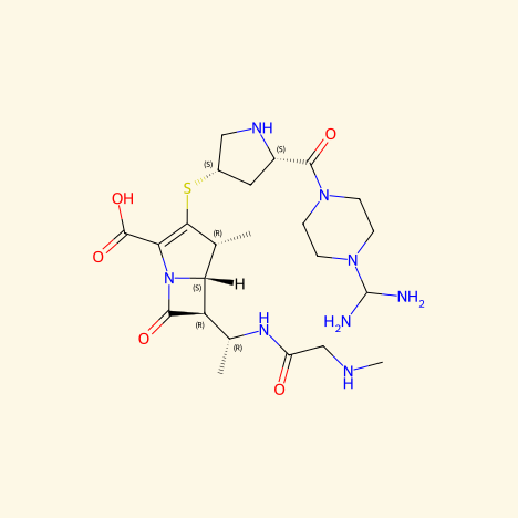 CNCC(=O)N[C@H](C)[C@H]1C(=O)N2C(C(=O)O)=C(S[C@@H]3CN[C@H](C(=O)N4CCN(C(N)N)CC4)C3)[C@H](C)[C@H]12